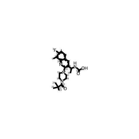 Cc1c(F)ccc2cc(C(C)NC(=O)O)c(N3CCN(C(=O)C(C)(C)C)CC3)nc12